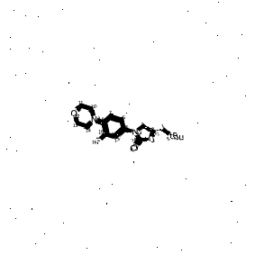 CC(C)(C)C[C@H]1CN(c2ccc(N3CCOCC3)c(F)c2)C(=O)O1